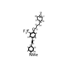 CNc1ccc(C#Cc2ccc(OCCCN3CCN(C)CC3)c(C(F)(F)F)c2)cc1